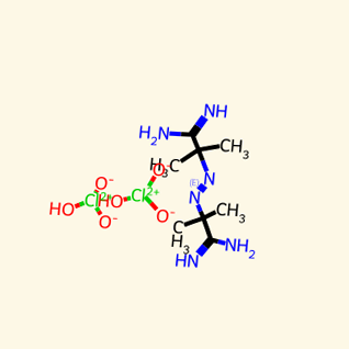 CC(C)(/N=N/C(C)(C)C(=N)N)C(=N)N.[O-][Cl+2]([O-])O.[O-][Cl+2]([O-])O